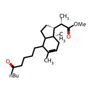 CCCCC(=O)CCCCC1C(C)=CC[C@@]2(C)C1CC[C@@H]2[C@H](C)C(=O)OC